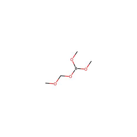 COCOB(OC)OC